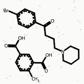 Cc1ccc(C(=O)O)cc1C(=O)O.O=C(CCCN1CCCCC1)c1ccc(Br)cc1